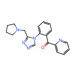 O=C(c1ccccn1)c1ccccc1-n1cnnc1CN1CCCC1